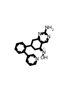 Nc1ncc2c(n1)CC(c1ccccc1-c1cccnc1)C/C2=N\O